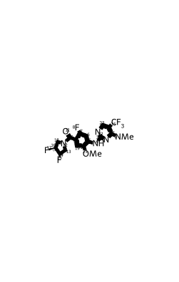 CNc1nc(Nc2cc(F)c(C(=O)N3C[C@H](F)[C@@H](F)C3)cc2OC)ncc1C(F)(F)F